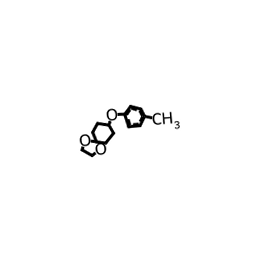 Cc1ccc(OC2CCC3(CC2)OCCO3)cc1